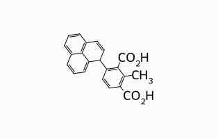 Cc1c(C(=O)O)ccc(C2C=Cc3cccc4cccc2c34)c1C(=O)O